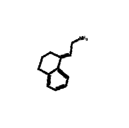 NCC=C1CCCc2ccccc21